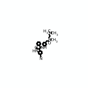 CN(C)CCCN(C)C(=O)Cc1ccc(NC(=C2C(=O)Nc3cc(C#N)ccc32)c2ccccc2)cc1